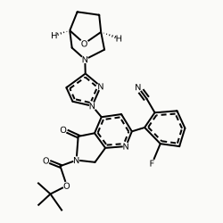 CC(C)(C)OC(=O)N1Cc2nc(-c3c(F)cccc3C#N)cc(-n3ccc(N4C[C@H]5CC[C@@H](C4)O5)n3)c2C1=O